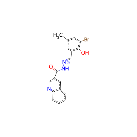 Cc1cc(Br)c(O)c(/C=N/NC(=O)c2cnc3ccccc3c2)c1